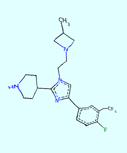 CC1CN(CCn2cc(-c3ccc(F)c(C(F)(F)F)c3)nc2C2CCNCC2)C1